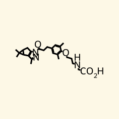 Cc1cc(CCC(=O)n2nc(C)c3c2CC2C3C2(C)C)cc(C)c1OCCCNCC(=O)O